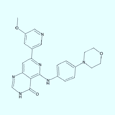 COc1cncc(-c2cc3nc[nH]c(=O)c3c(Nc3ccc(N4CCOCC4)cc3)n2)c1